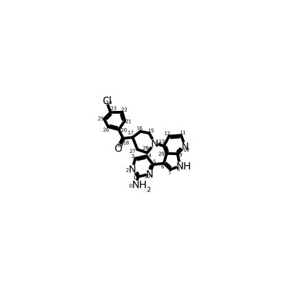 Nc1nccc(-c2c[nH]c3nccc(N4CCC(C(=O)c5ccc(Cl)cc5)CC4)c23)n1